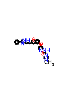 CN1CCN(CC(=O)Nc2cc(Oc3ccc4c(c3)CC(CCCc3nc(-c5ccccc5)c[nH]3)CO4)ccn2)CC1